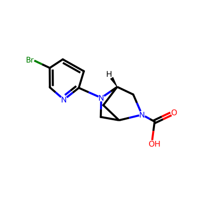 O=C(O)N1C[C@@H]2CC1CN2c1ccc(Br)cn1